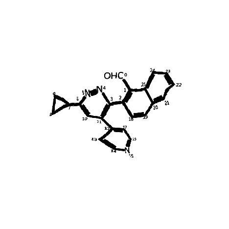 O=Cc1c(-c2nnc(C3CC3)cc2-c2ccncc2)ccc2ccccc12